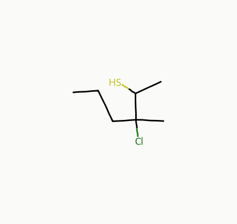 CCCC(C)(Cl)C(C)S